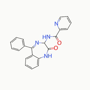 O=C(NC1N=C(c2ccccc2)c2ccccc2NC1=O)c1ccccn1